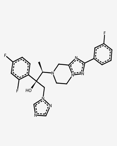 C[C@@H](N1CCn2nc(-c3cccc(F)c3)nc2C1)[C@](O)(Cn1cncn1)c1ccc(F)cc1F